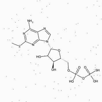 CSc1nc(N)c2ncn([C@@H]3O[C@H](COP(=O)(O)OP(=O)(O)S)[C@@H](O)C3O)c2n1